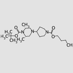 CCCCOC(=O)N1CCC(N2C[C@@H](C)N(C(=O)OC(C)(C)C)[C@@H](C)C2)CC1